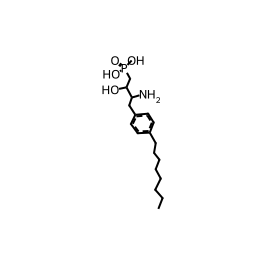 CCCCCCCCc1ccc(CC(N)C(O)CP(=O)(O)O)cc1